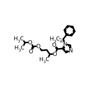 CC(C)OC(=O)OCCC(C)OC(=O)c1cncn1[C@H](C)c1ccccc1